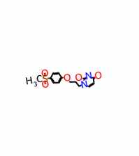 CS(=O)(=O)c1ccc(OCC2Cn3ccc(=O)nc3O2)cc1